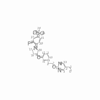 CCc1cnc(OCCc2cccc(OC3CCN(c4ccc(S(C)(=O)=O)cc4F)C3)c2)nc1